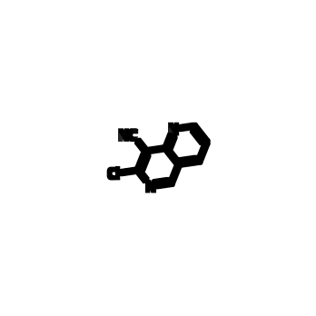 N#Cc1c(Cl)ncc2cccnc12